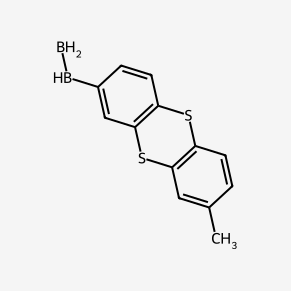 BBc1ccc2c(c1)Sc1cc(C)ccc1S2